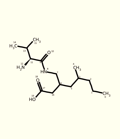 CCCC(C)CC(CNC(=O)[C@@H](N)C(C)C)CC(=O)O